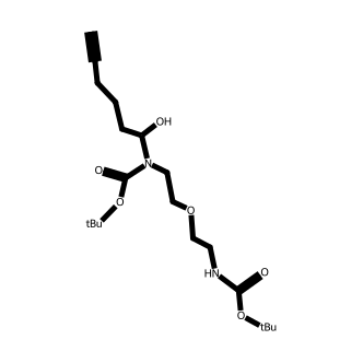 C#CCCCC(O)N(CCOCCNC(=O)OC(C)(C)C)C(=O)OC(C)(C)C